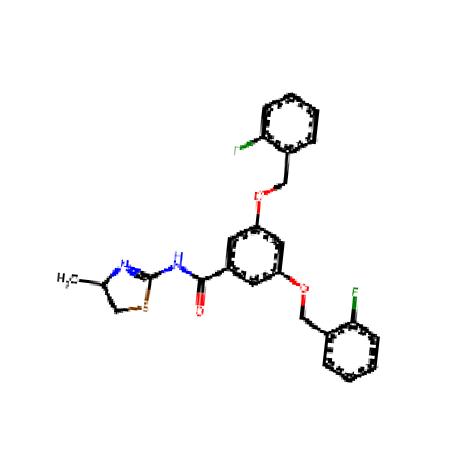 CC1CSC(NC(=O)c2cc(OCc3ccccc3F)cc(OCc3ccccc3F)c2)=N1